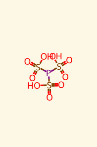 O=S(=O)(O)P(S(=O)(=O)O)S(=O)(=O)O